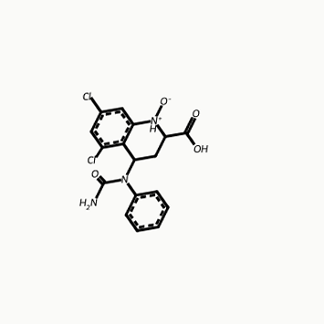 NC(=O)N(c1ccccc1)C1CC(C(=O)O)[NH+]([O-])c2cc(Cl)cc(Cl)c21